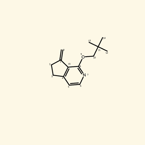 C=C1CCc2ccnc(OCC(C)(C)C)c21